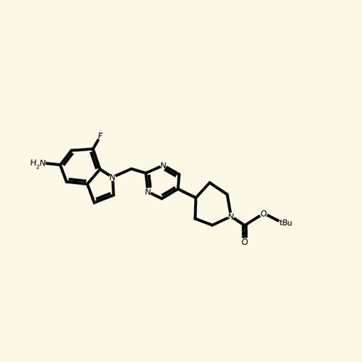 CC(C)(C)OC(=O)N1CCC(c2cnc(Cn3ccc4cc(N)cc(F)c43)nc2)CC1